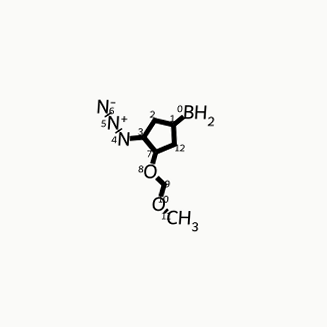 BC1CC(N=[N+]=[N-])C(OCOC)C1